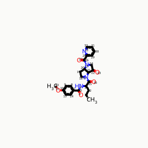 CCCC(NC(=O)c1ccc(OC)cc1)C(=O)N1CCC2C1C(=O)CN2C(=O)c1ccccn1